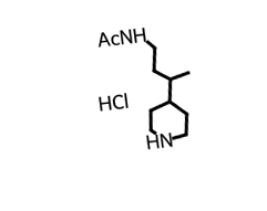 CC(=O)NCCC(C)C1CCNCC1.Cl